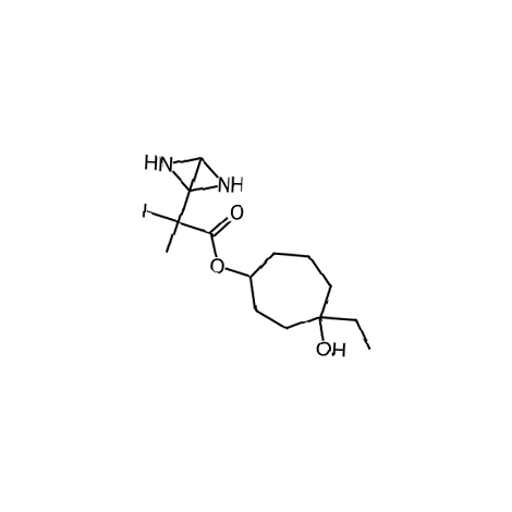 CCC1(O)CCCC(OC(=O)C(C)(I)C23NC2N3)CC1